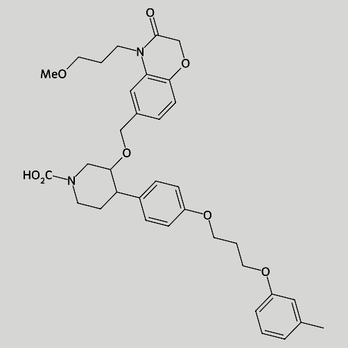 COCCCN1C(=O)COc2ccc(COC3CN(C(=O)O)CCC3c3ccc(OCCCOc4cccc(C)c4)cc3)cc21